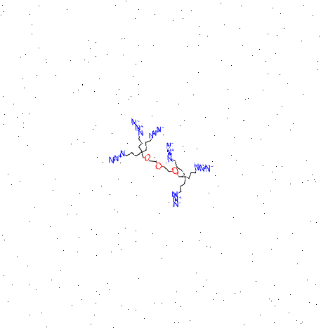 [N-]=[N+]=NCCCC(CCCN=[N+]=[N-])(CCCN=[N+]=[N-])COCCOCCOCC(CCCN=[N+]=[N-])(CCCN=[N+]=[N-])CCCN=[N+]=[N-]